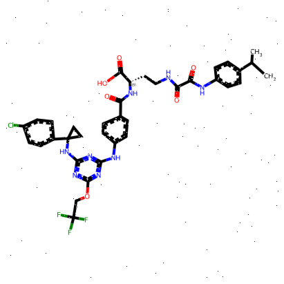 CC(C)c1ccc(NC(=O)C(=O)NCC[C@H](NC(=O)c2ccc(Nc3nc(NC4(c5ccc(Cl)cc5)CC4)nc(OCC(F)(F)F)n3)cc2)C(=O)O)cc1